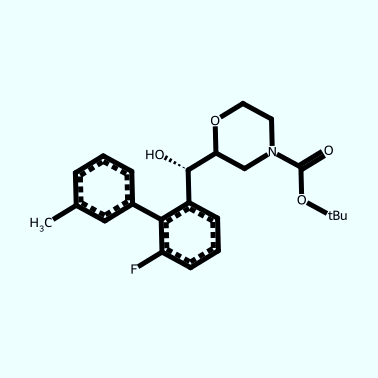 Cc1cccc(-c2c(F)cccc2[C@H](O)C2CN(C(=O)OC(C)(C)C)CCO2)c1